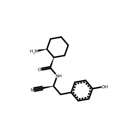 N#C[C@H](Cc1ccc(O)cc1)NC(=O)[C@@H]1CCCC[C@@H]1N